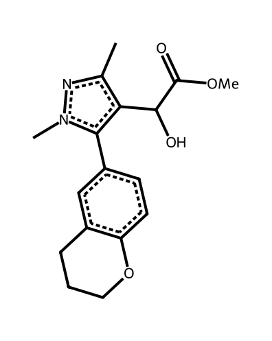 COC(=O)C(O)c1c(C)nn(C)c1-c1ccc2c(c1)CCCO2